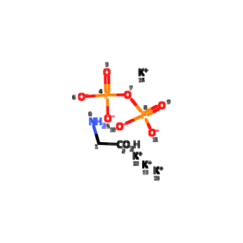 NCC(=O)O.O=P([O-])([O-])OP(=O)([O-])[O-].[K+].[K+].[K+].[K+]